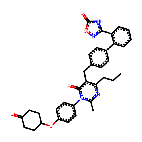 CCCc1nc(C)n(-c2ccc(OC3CCC(=O)CC3)cc2)c(=O)c1Cc1ccc(-c2ccccc2-c2noc(=O)[nH]2)cc1